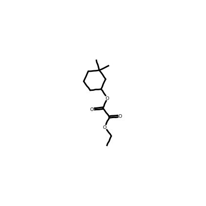 CCOC(=O)C(=O)OC1CCCC(C)(C)C1